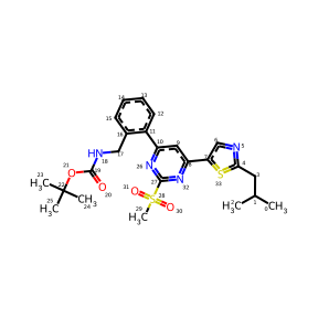 CC(C)Cc1ncc(-c2cc(-c3ccccc3CNC(=O)OC(C)(C)C)nc(S(C)(=O)=O)n2)s1